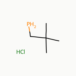 CC(C)(C)CP.Cl